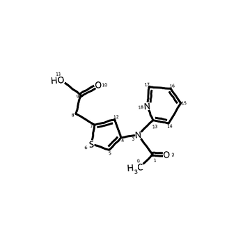 CC(=O)N(c1csc(CC(=O)O)c1)c1ccccn1